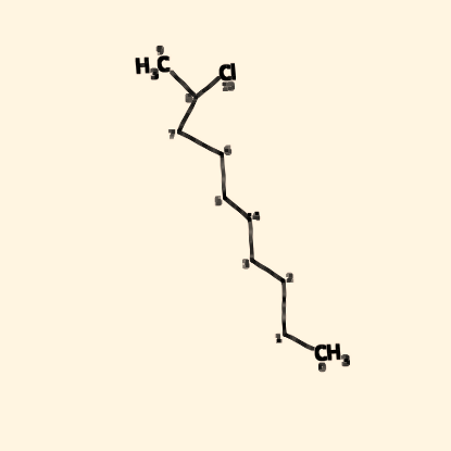 CCCC[CH]CCCC(C)Cl